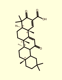 CC1(C)CC[C@]2(C)CC[C@]3(C)C(C(=O)C=C4[C@@]5(C)C=C(C(=O)O)C(=O)C(C)(C)[C@@H]5CC[C@]43C)C2C1